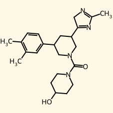 CC1=NCC(C2CC(c3ccc(C)c(C)c3)CN(C(=O)N3CCC(O)CC3)C2)=N1